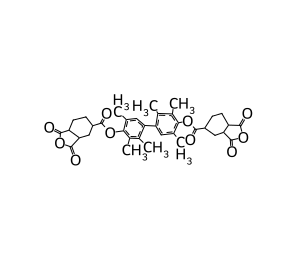 Cc1cc(-c2cc(C)c(OC(=O)C3CCC4C(=O)OC(=O)C4C3)c(C)c2C)c(C)c(C)c1OC(=O)C1CCC2C(=O)OC(=O)C2C1